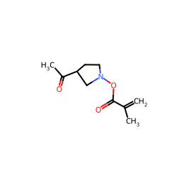 C=C(C)C(=O)ON1CCC(C(C)=O)C1